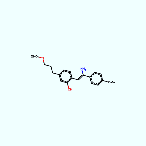 COc1ccc(/C(N)=C/c2ccc(CCCOC=O)cc2O)cc1